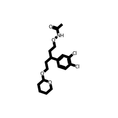 CC(=O)NOCCC(CCOC1CCCCO1)c1ccc(Cl)c(Cl)c1